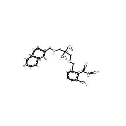 Cc1cccc(COCC(C)(C)COCc2ccc3ccccc3n2)c1C(=O)N=O